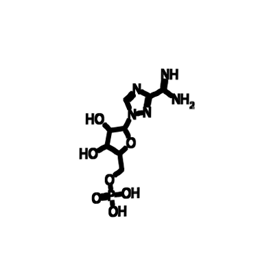 N=C(N)c1ncn(C2OC(COP(=O)(O)O)C(O)C2O)n1